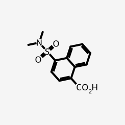 CN(C)S(=O)(=O)c1ccc(C(=O)O)c2ccccc12